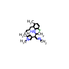 C=CCCc1c(C)ccc(F)c1NC(=C)/C(=C\N=C)c1cc(C)n(C)c1